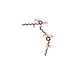 CCCCCCCC(=O)CC[C@@H]1[C@@H](C/C=C\CCCC(=O)Oc2ccc(/C=C/C(=O)OCCCCC)cc2OC)[C@@H](O)C[C@H]1O